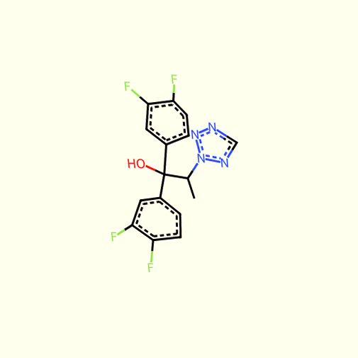 CC(n1ncnn1)C(O)(c1ccc(F)c(F)c1)c1ccc(F)c(F)c1